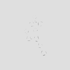 c1ccc(-c2ccc(-c3cccc(-c4cccc5c4oc4c(C6c7ccccc7-c7c6ccc6c8ccccc8n(-c8ccccc8)c76)cccc45)c3)cc2)cc1